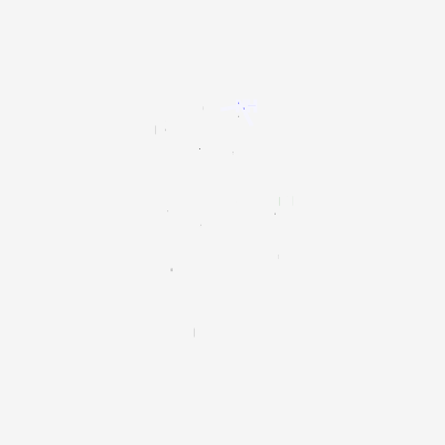 CCc1ccc2c(c1Cl)CCC1(C)CNCC21.Cl